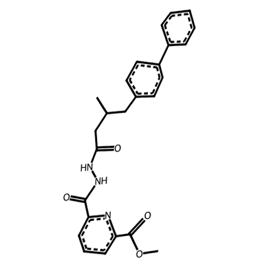 COC(=O)c1cccc(C(=O)NNC(=O)CC(C)Cc2ccc(-c3ccccc3)cc2)n1